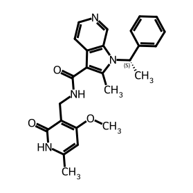 COc1cc(C)[nH]c(=O)c1CNC(=O)c1c(C)n([C@@H](C)c2ccccc2)c2cnccc12